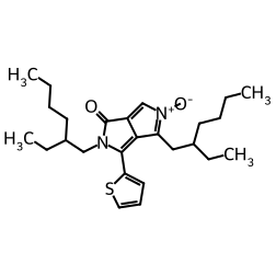 CCCCC(CC)CC1=[N+]([O-])C=C2C(=O)N(CC(CC)CCCC)C(c3cccs3)=C21